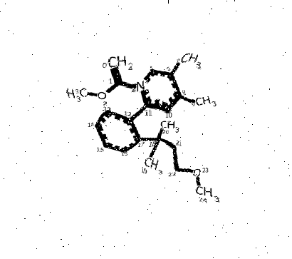 C=C(OC)[n+]1cc(C)c(C)cc1-c1ccccc1C(C)(C)CCOC